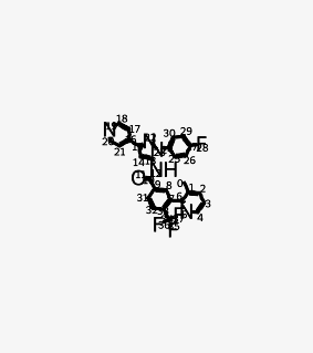 Cc1cccnc1-c1cc(C(=O)Nc2cc(-c3ccncc3)nn2-c2ccc(F)cc2)ccc1C(F)(F)F